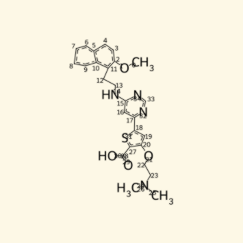 COc1ccc2ccccc2c1CCNc1cc(-c2cc(OCCN(C)C)c(C(=O)O)s2)ncn1